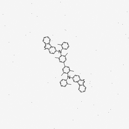 Cc1ccccc1N(c1ccc2sc3ccccc3c2c1)c1c(C)cc(-c2cc(C)c(N(c3ccc4sc5ccccc5c4c3)c3ccccc3C)c(C)c2)cc1C